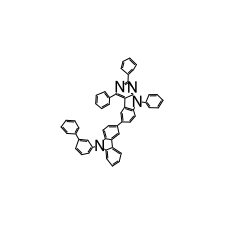 c1ccc(-c2cccc(-n3c4ccccc4c4cc(-c5ccc6c(c5)c5c(-c7ccccc7)nc(-c7ccccc7)nc5n6-c5ccccc5)ccc43)c2)cc1